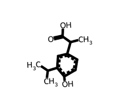 CC(C)c1cc(C(C)C(=O)O)ccc1O